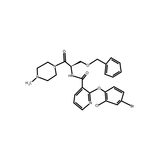 CN1CCN(C(=O)[C@@H](COCc2ccccc2)NC(=O)c2cccnc2Oc2ccc(Br)cc2Cl)CC1